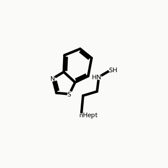 CCCCCCCCCNS.c1ccc2scnc2c1